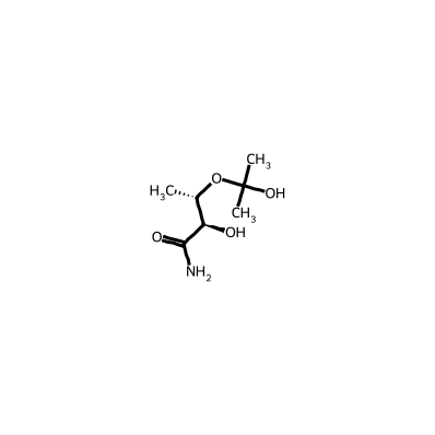 C[C@H](OC(C)(C)O)[C@@H](O)C(N)=O